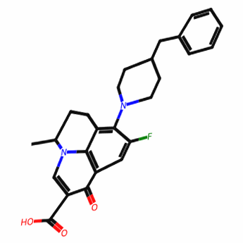 CC1CCc2c(N3CCC(Cc4ccccc4)CC3)c(F)cc3c(=O)c(C(=O)O)cn1c23